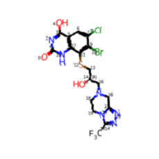 O=c1nc(O)c2cc(Cl)c(Br)c(SC[C@H](O)CN3CCn4c(nnc4C(F)(F)F)C3)c2[nH]1